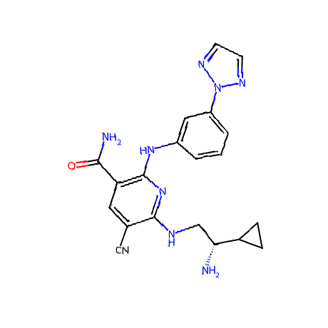 N#Cc1cc(C(N)=O)c(Nc2cccc(-n3nccn3)c2)nc1NC[C@@H](N)C1CC1